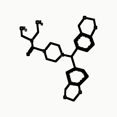 CCN(CC)C(=O)N1CCN(C(c2ccc3c(c2)COCO3)c2ccc3c(c2)COCO3)CC1